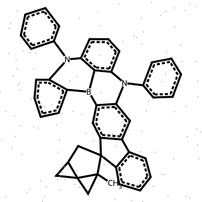 CC12CC13CC3CC21c2ccccc2-c2cc3c(cc21)B1c2ccccc2N(c2ccccc2)c2cccc(c21)N3c1ccccc1